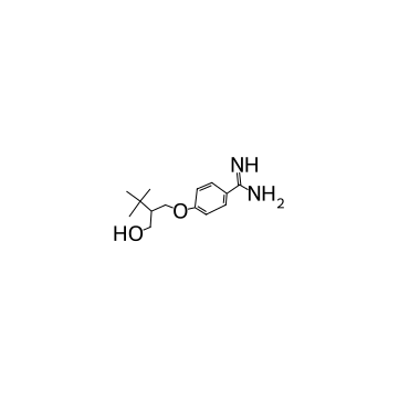 CC(C)(C)C(CO)COc1ccc(C(=N)N)cc1